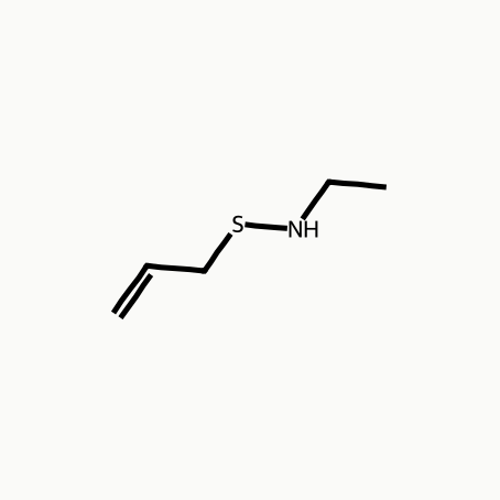 C=CCSNCC